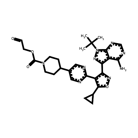 CC(C)(C)n1nc(-c2noc(C3CC3)c2-c2ncc(C3CCN(C(=O)OCC=O)CC3)cn2)c2c(N)ncnc21